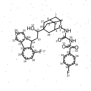 O=C(NN1C2CC3CC1CC(C(O)CC1c4c(F)cccc4-c4cncn41)(C3)C2)NS(=O)(=O)c1ccc(F)cc1